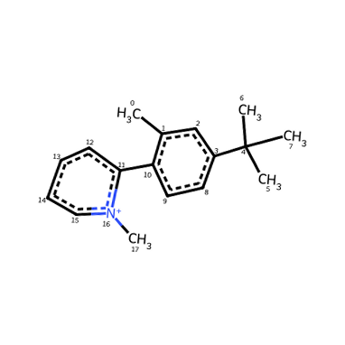 Cc1cc(C(C)(C)C)ccc1-c1cccc[n+]1C